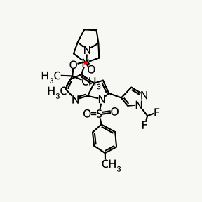 Cc1ccc(S(=O)(=O)n2c(-c3cnn(C(F)F)c3)cc3c(N4CC5CCC(C4)N5C(=O)OC(C)(C)C)ccnc32)cc1